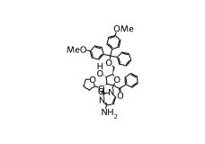 COc1ccc(C(OC[C@H]2O[C@@](C(=O)c3ccccc3)(n3ccc(N)nc3=O)[C@H](OC3CCCO3)[C@@H]2O)(c2ccccc2)c2ccc(OC)cc2)cc1